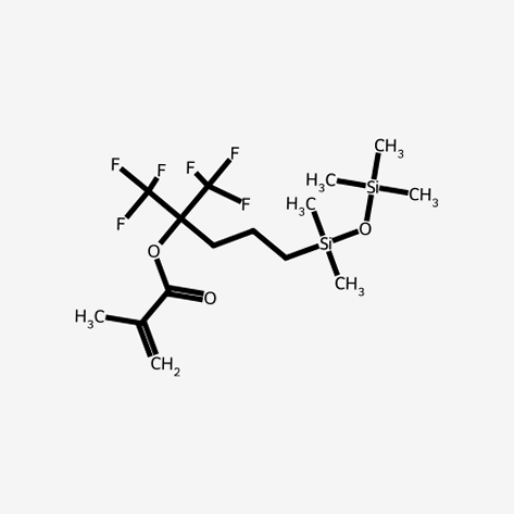 C=C(C)C(=O)OC(CCC[Si](C)(C)O[Si](C)(C)C)(C(F)(F)F)C(F)(F)F